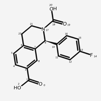 O=C(O)c1ccc2c(c1)[C@H](c1ccc(F)cc1)N(C(=O)O)CC2